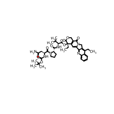 CCc1c2c(nc3ccccc13)-c1cc3c(c(=O)n1C2)COC(=O)[C@@]3(CC)OC(=O)[C@@H](NC(=O)[C@@H]1CCCN1C(=O)[C@H](CC(N)=O)NC(=O)OC(C)(C)C)C(C)C